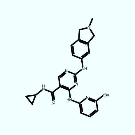 CN1Cc2ccc(Nc3ncc(C(=O)NC4CC4)c(Nc4cccc(C(C)(C)C)n4)n3)cc2C1